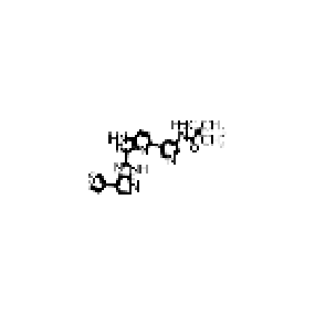 CC(C)(C)C(=O)Nc1cncc(-c2ccc3[nH]nc(-c4nc5c(-c6ccsc6)ccnc5[nH]4)c3n2)c1